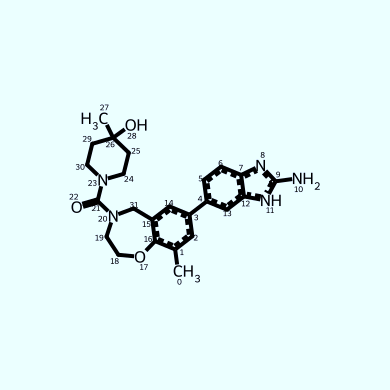 Cc1cc(-c2ccc3nc(N)[nH]c3c2)cc2c1OCCN(C(=O)N1CCC(C)(O)CC1)C2